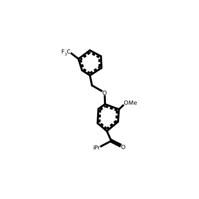 COc1cc(C(=O)C(C)C)ccc1OCc1cccc(C(F)(F)F)c1